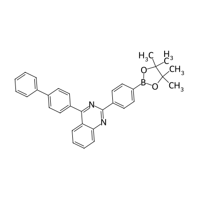 CC1(C)OB(c2ccc(-c3nc(-c4ccc(-c5ccccc5)cc4)c4ccccc4n3)cc2)OC1(C)C